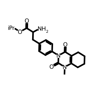 CC(C)OC(=O)C(N)Cc1ccc(-n2c(=O)c3c(n(C)c2=O)CCCC3)cc1